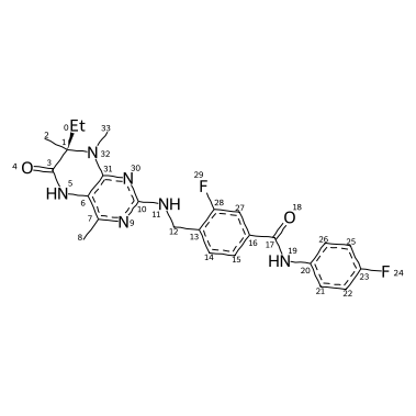 CC[C@]1(C)C(=O)Nc2c(C)nc(NCc3ccc(C(=O)Nc4ccc(F)cc4)cc3F)nc2N1C